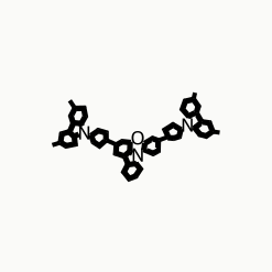 Cc1ccc2c(c1)c1cc(C)ccc1n2-c1ccc(-c2ccc3c(c2)Oc2cc(-c4ccc(-n5c6ccc(C)cc6c6cc(C)ccc65)cc4)cc4c5ccccc5n-3c24)cc1